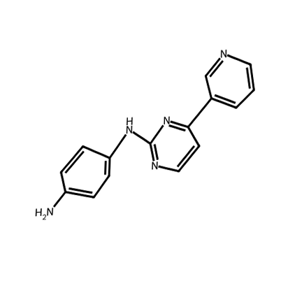 Nc1ccc(Nc2nccc(-c3cccnc3)n2)cc1